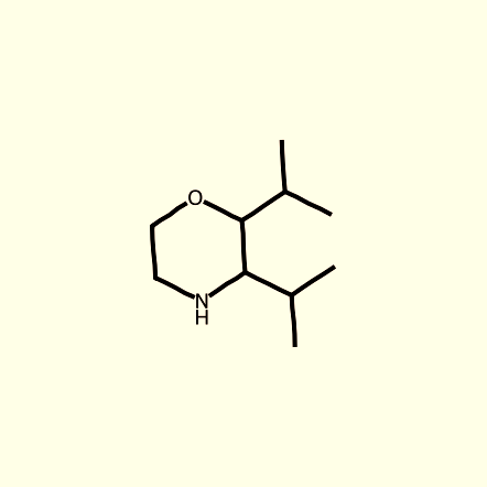 CC(C)C1NCCOC1C(C)C